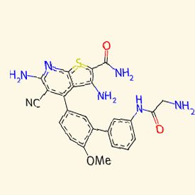 COc1ccc(-c2c(C#N)c(N)nc3sc(C(N)=O)c(N)c23)cc1-c1cccc(NC(=O)CN)c1